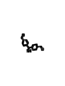 N=C(c1ccc(C=O)cc1)c1ccc(C=O)cc1